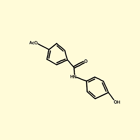 CC(=O)Oc1ccc(C(=O)Nc2ccc(O)cc2)cc1